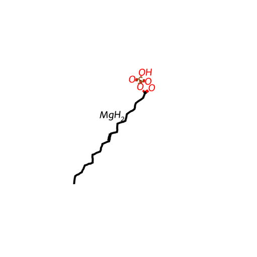 CCCCCCCCC=CCCCCCCCC(=O)OS(=O)(=O)O.[MgH2]